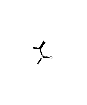 C=C(C)[S+](C)[O-]